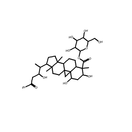 CC(C)C(=O)CC(O)C(C)C1CCC2(C)C3CCC4C(C)(C(=O)OC5OC(CO)C(O)C(O)C5O)C(O)CC(O)C45CC35CCC12C